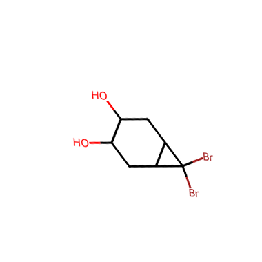 OC1CC2C(CC1O)C2(Br)Br